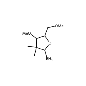 BC1OC(COC)C(OC)C1(C)C